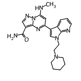 CNc1cc(-c2cn(CCN3CCCCC3)c3ncccc23)nc2c(C(N)=O)cnn12